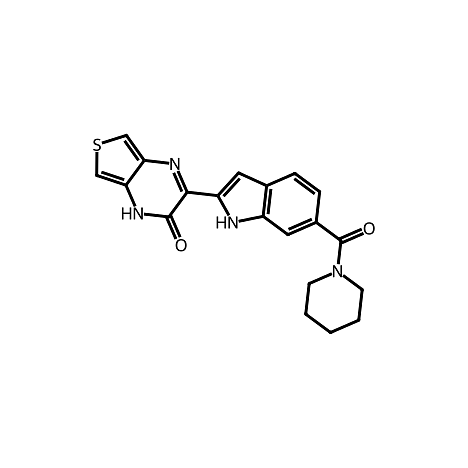 O=C(c1ccc2cc(-c3nc4cscc4[nH]c3=O)[nH]c2c1)N1CCCCC1